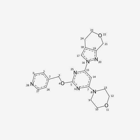 c1cc(COc2nc(N3CCOCC3)cc(-n3cc4c(n3)COCC4)n2)ccn1